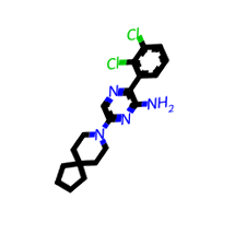 Nc1nc(N2CCC3(CCCC3)CC2)cnc1-c1cccc(Cl)c1Cl